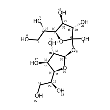 OC[C@H](O)[C@@H]1OC(O)(O[C@H]2O[C@@H]([C@@H](O)CO)[C@@H](O)[C@@H]2O)[C@@H](O)[C@@H]1O